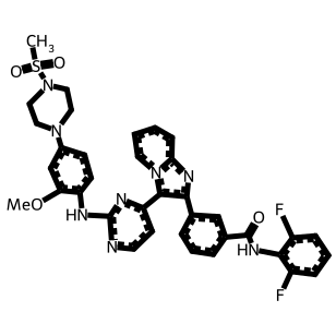 COc1cc(N2CCN(S(C)(=O)=O)CC2)ccc1Nc1nccc(-c2c(-c3cccc(C(=O)Nc4c(F)cccc4F)c3)nc3ccccn23)n1